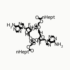 CCCCCCCC(=O)OCOP1(=O)/C=C/[C@H]2O[C@@H](n3cnc4c(N)ncnc43)[C@H](F)[C@@H]2OP(=O)(OCOC(=O)CCCCCCC)OC[C@H]2O[C@@H](n3cnc4c(N)ncnc43)[C@H](F)[C@@H]2O1